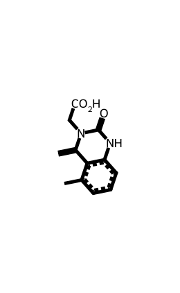 C=C1c2c(C)cccc2NC(=O)N1CC(=O)O